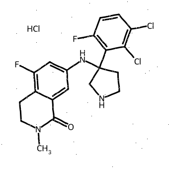 CN1CCc2c(F)cc(NC3(c4c(F)ccc(Cl)c4Cl)CCNC3)cc2C1=O.Cl